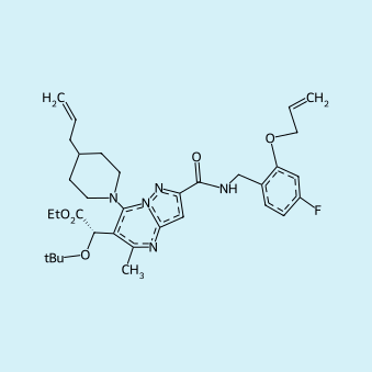 C=CCOc1cc(F)ccc1CNC(=O)c1cc2nc(C)c([C@H](OC(C)(C)C)C(=O)OCC)c(N3CCC(CC=C)CC3)n2n1